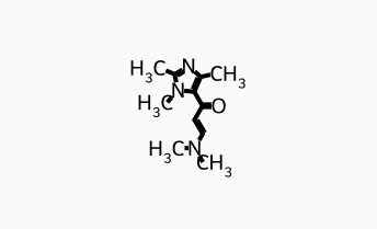 Cc1nc(C)n(C)c1C(=O)C=CN(C)C